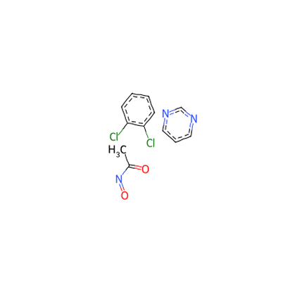 CC(=O)N=O.Clc1ccccc1Cl.c1cncnc1